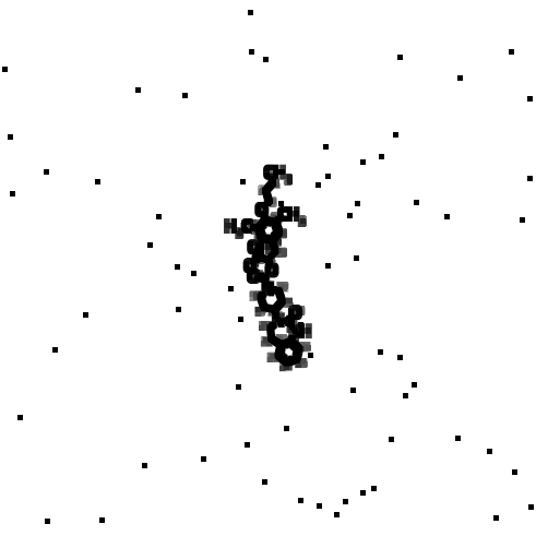 CCCCOc1c(C)cc(C[C@@H](OC(=O)N2CCC(N3CCc4ccccc4NC3=O)CC2)C(=O)O)cc1C